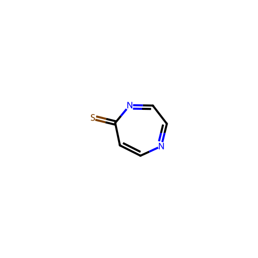 S=c1ccnccn1